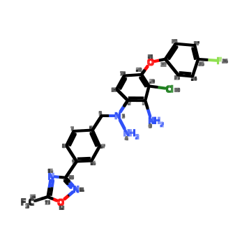 Nc1c(N(N)Cc2ccc(-c3noc(C(F)(F)F)n3)cc2)ccc(Oc2ccc(F)cc2)c1Cl